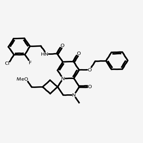 COCC1CC2(C1)CN(C)C(=O)c1c(OCc3ccccc3)c(=O)c(C(=O)NCc3cccc(Cl)c3F)cn12